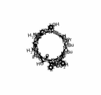 CCCC[C@H]1C(=O)N(C)[C@@H](CCCC)C(=O)N[C@@H](CC(C)C)C(=O)NCCCCC(=O)N[C@@H](Cc2ccc(O)cc2)C(=O)N2CCCC[C@H]2C(=O)N[C@@H](CC(N)=O)C(=O)N2CCC[C@H]2C(=O)N[C@@H](CN)C(=O)N[C@@H](CC(C)C)C(=O)N2C[C@H](O)C[C@@]23C(=O)N3[C@@H](Cc2c[nH]c3ccccc23)C(=O)N[C@@H](CCN)C(=O)N[C@@H](Cc2cn(CC(=O)O)c3ccccc23)C(=O)N1C